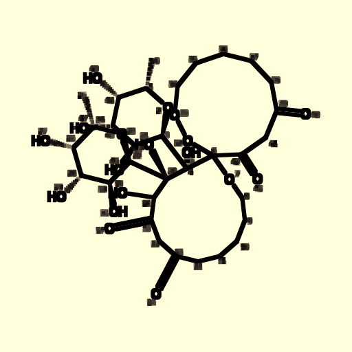 C[C@@H]1O[C@@H]([C@@]2(O)C3(OCCCCCC(=O)CC(=O)C(O)[C@]2(O)[C@@H]2O[C@@H](C)[C@@H](O)[C@@H](O)[C@@H]2O)OOCCCCCC(=O)CC3=O)[C@@H](O)[C@H](O)[C@@H]1O